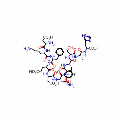 CC(C)C[C@H](NC(=O)[C@H](CC(N)=O)NC(=O)[C@H](CC(=O)O)NC(=O)[C@H](CCC(=O)O)NC(=O)[C@H](Cc1ccccc1)NC(=O)[C@H](CCCCN)NC(=O)[C@@H](N)CC(=O)O)C(=O)N[C@@H](Cc1ccc(O)cc1)C(=O)N[C@@H](CO)C(=O)N[C@@H](C)C(=O)N[C@@H](Cc1c[nH]cn1)C(=O)O